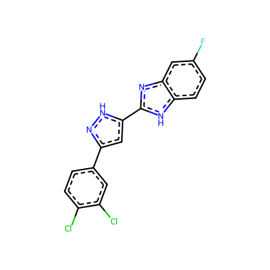 Fc1ccc2[nH]c(-c3cc(-c4ccc(Cl)c(Cl)c4)n[nH]3)nc2c1